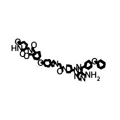 Nc1ncnc2c1c(-c1ccc(Oc3ccccc3)cc1)nn2C1CCN(C(=O)CN2CC3(CCC(Oc4ccc5c(c4)C(=O)N(C4CCC(=O)NC4=O)C5=O)CC3)C2)CC1